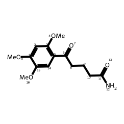 COc1cc(OC)c(C(=O)CCCC(N)=O)cc1OC